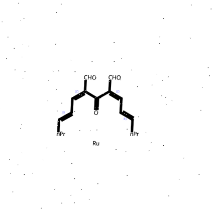 CCC/C=C/C=C(/C=O)C(=O)/C(C=O)=C\C=C\CCC.[Ru]